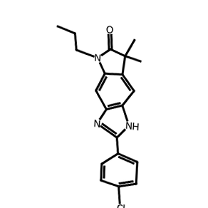 CCCN1C(=O)C(C)(C)c2cc3[nH]c(-c4ccc(Cl)cc4)nc3cc21